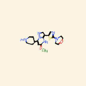 Cl.O=c1cc(C2CCNCC2)n2ncc(-c3cnc(N4CCOCC4)s3)c2[nH]1